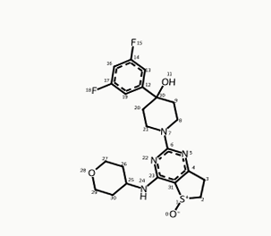 [O-][S+]1CCc2nc(N3CCC(O)(c4cc(F)cc(F)c4)CC3)nc(NC3CCOCC3)c21